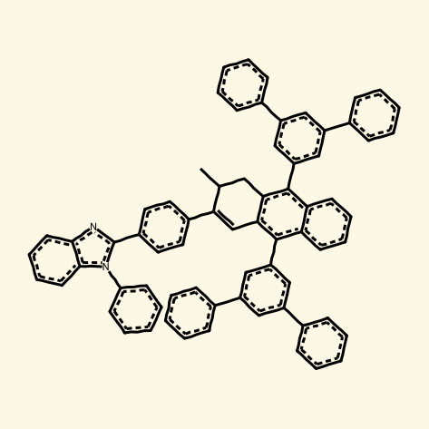 CC1Cc2c(c(-c3cc(-c4ccccc4)cc(-c4ccccc4)c3)c3ccccc3c2-c2cc(-c3ccccc3)cc(-c3ccccc3)c2)C=C1c1ccc(-c2nc3ccccc3n2-c2ccccc2)cc1